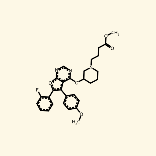 COC(=O)CCCN1CCCC(Oc2ncnc3oc(-c4ccccc4F)c(-c4ccc(OC)cc4)c23)C1